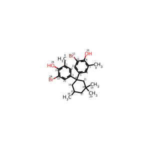 Cc1cc(C2(c3cc(C)c(O)c(Br)c3)CC(C)CC(C)(C)C2)cc(Br)c1O